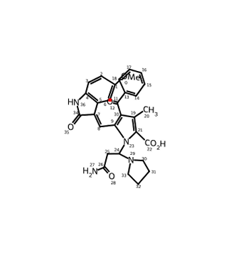 COc1ccc2c(c1)C(=Cc1c(C(=O)c3ccccc3)c(C)c(C(=O)O)n1C(CC(N)=O)N1CCCC1)C(=O)N2